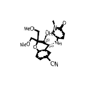 COCC1(COC)Oc2ccc(C#N)cc2[C@@H](Nc2ccc(=O)n(C)c2)[C@@H]1O